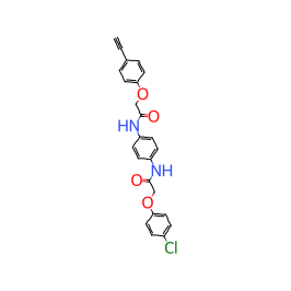 C#Cc1ccc(OCC(=O)Nc2ccc(NC(=O)COc3ccc(Cl)cc3)cc2)cc1